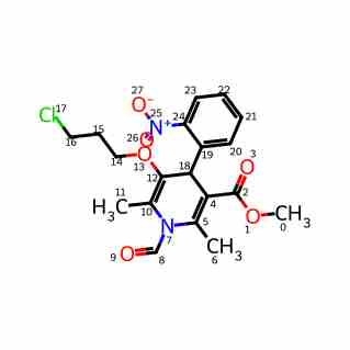 COC(=O)C1=C(C)N(C=O)C(C)=C(OCCCCl)C1c1ccccc1[N+](=O)[O-]